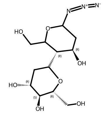 [N-]=[N+]=NC1C[C@@H](O)[C@H](C2C[C@@H](O)[C@H](O)[C@@H](CO)O2)C(CO)O1